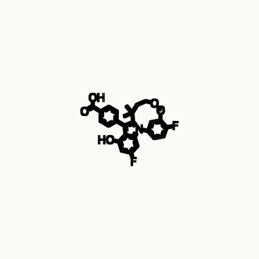 CC1(C)CCOOc2cc(ccc2F)-n2c1c(-c1ccc(C(=O)O)cc1)c1c(O)cc(F)cc12